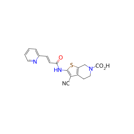 N#Cc1c(NC(=O)C=Cc2ccccn2)sc2c1CCN(C(=O)O)C2